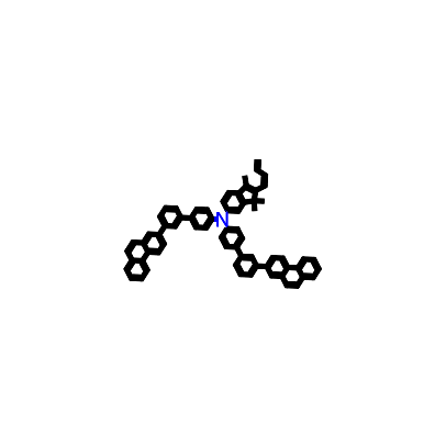 C=C/C=C\C1=C(C)c2ccc(N(c3ccc(-c4cccc(-c5ccc6c(ccc7ccccc76)c5)c4)cc3)c3ccc(-c4cccc(-c5ccc6c(ccc7ccccc76)c5)c4)cc3)cc2C1(C)C